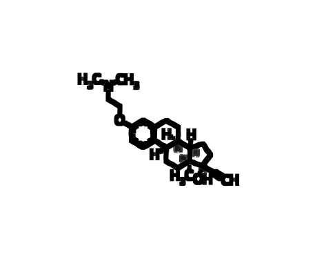 C#C[C@]1(O)CC[C@H]2[C@@H]3CCc4cc(OCCN(C)C)ccc4[C@H]3CC[C@@]21C